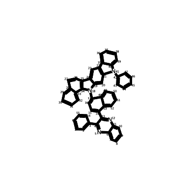 c1ccc(-c2nc3ccccc3nc2-c2ccc(-n3c4cc5c(cc4c4ccc6ccccc6c43)c3ccccc3n5-c3ccccc3)c3ccccc23)cc1